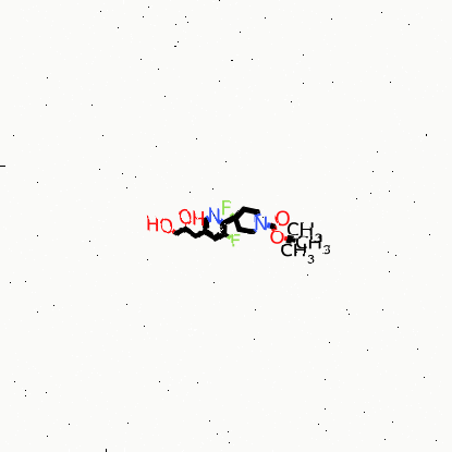 CC(C)(C)OC(=O)N1CCC(F)(c2ncc(C[C@@H](O)CO)cc2F)CC1